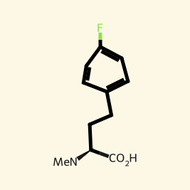 CN[C@@H](CCc1ccc(F)cc1)C(=O)O